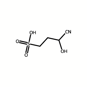 N#CC(O)CCS(=O)(=O)O